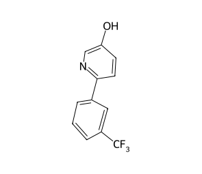 Oc1ccc(-c2cccc(C(F)(F)F)c2)nc1